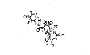 CO[C@H]1C=C[C@H](C)N2C[C@H]1n1cc(C(=O)NCc3ccc(F)c(Cl)c3F)c(=O)c(O)c1C2=O